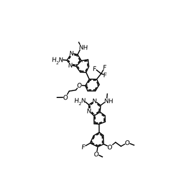 CNc1nc(N)nc2cc(-c3c(OCCOC)cccc3C(F)(F)F)ccc12.CNc1nc(N)nc2cc(-c3cc(F)c(OC)c(OCCOC)c3)ccc12